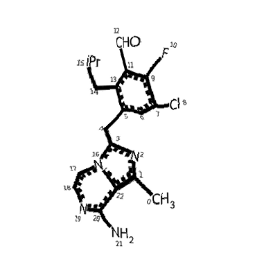 Cc1nc(Cc2cc(Cl)c(F)c(C=O)c2CC(C)C)n2ccnc(N)c12